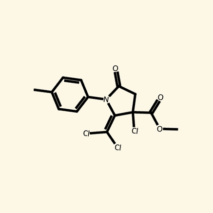 COC(=O)C1(Cl)CC(=O)N(c2ccc(C)cc2)C1=C(Cl)Cl